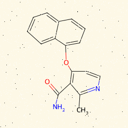 Cc1nccc(Oc2cccc3ccccc23)c1C(N)=O